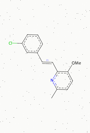 COc1ccc(C)nc1/C=C/c1cccc(Cl)c1